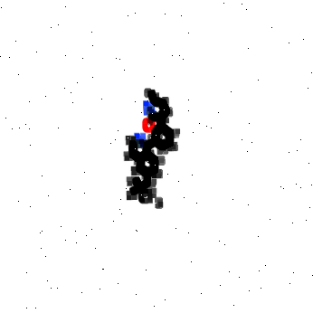 Cc1ccc2c(n1)oc1c(-c3nccc4cc(CC(C)(C)C(F)(F)F)ccc34)cccc12